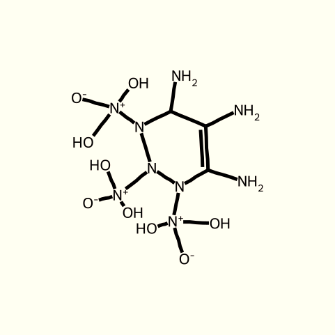 NC1=C(N)N([N+]([O-])(O)O)N([N+]([O-])(O)O)N([N+]([O-])(O)O)C1N